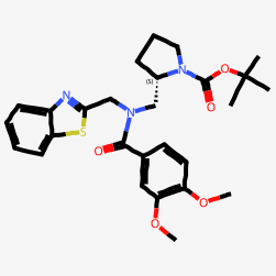 COc1ccc(C(=O)N(Cc2nc3ccccc3s2)C[C@@H]2CCCN2C(=O)OC(C)(C)C)cc1OC